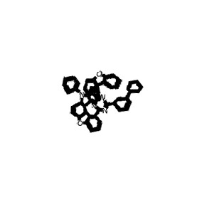 C1=CC2C(c3ccccc3N2c2ccccc2)c2c1oc1cccc(-c3nc(-c4cccc(-c5ccccc5)c4)nc(-c4cccc5oc6ccccc6c45)n3)c21